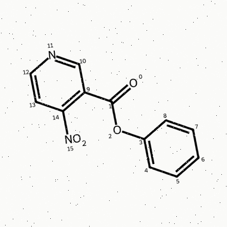 O=C(Oc1ccccc1)c1cnccc1[N+](=O)[O-]